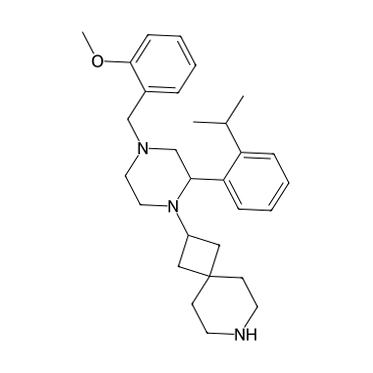 COc1ccccc1CN1CCN(C2CC3(CCNCC3)C2)C(c2ccccc2C(C)C)C1